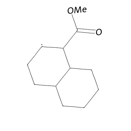 COC(=O)C1[CH]CCC2CCCCC21